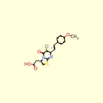 COc1ccc(/C=C/c2nc3scc(CC(=O)O)n3c(=O)c2Cl)cc1